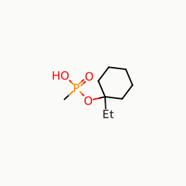 CCC1(OP(C)(=O)O)CCCCC1